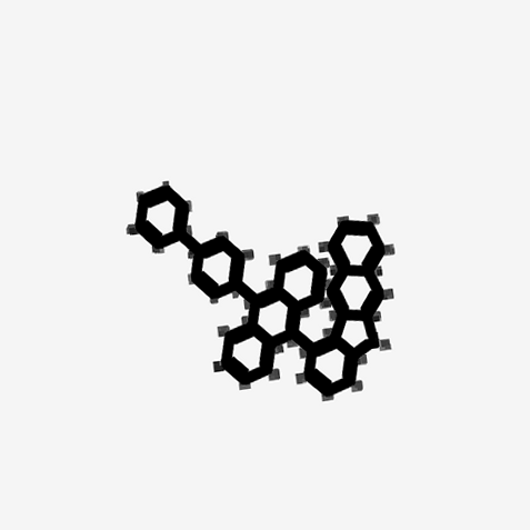 c1ccc(-c2ccc(-c3c4ccccc4c(-c4cccc5sc6cc7ccccc7cc6c45)c4ccccc34)cc2)cc1